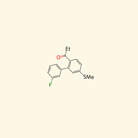 CCC(=O)c1ccc(SC)cc1-c1cccc(F)c1